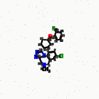 CN1Cc2cc(Cl)ccc2-n2c(nnc2[C@H]2CC[C@H](Oc3ccccc3F)CC2)C1